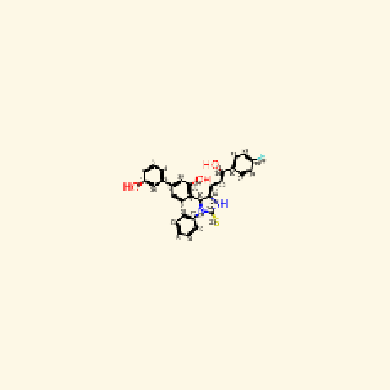 Oc1cccc(-c2ccc(C3C(CCC(O)c4ccc(F)cc4)NC(=S)N3c3ccccc3)c(O)c2)c1